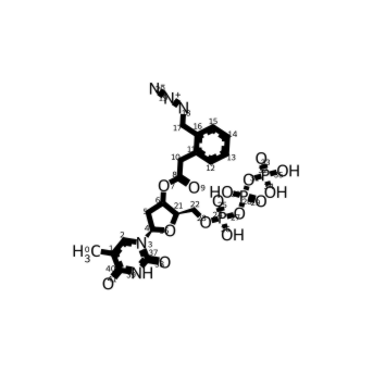 Cc1cn([C@H]2CC(OC(=O)Cc3ccccc3CN=[N+]=[N-])[C@@H](COP(=O)(O)OP(=O)(O)OP(=O)(O)O)O2)c(=O)[nH]c1=O